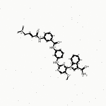 COc1cnc(Nc2cccc(NC(=O)c3cccc(NC(=O)/C=C/CN(C)C)c3)c2)nc1-n1cc(C(N)=O)c2ccccc21